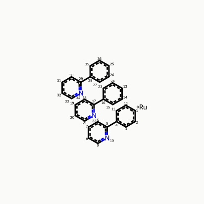 [Ru].c1ccc(-c2ccccn2)cc1.c1ccc(-c2ccccn2)cc1.c1ccc(-c2ccccn2)cc1